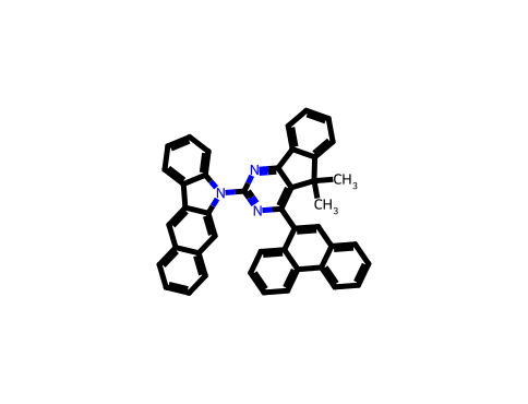 CC1(C)c2ccccc2-c2nc(-n3c4ccccc4c4cc5ccccc5cc43)nc(-c3cc4ccccc4c4ccccc34)c21